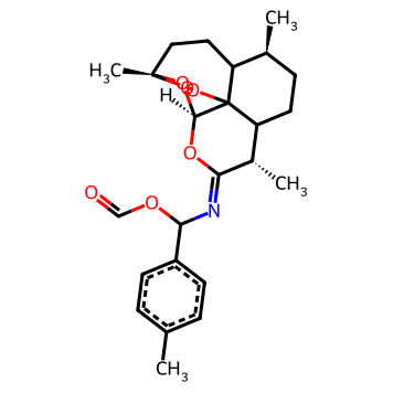 Cc1ccc(C(/N=C2\O[C@H]3O[C@@]4(C)CCC5[C@@H](C)CCC([C@@H]2C)C53OO4)OC=O)cc1